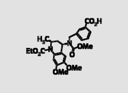 CCOC(=O)N1c2cc(OC)c(OC)cc2[C@H](N(Cc2cccc(C(=O)O)c2)C(=O)OC)C[C@@H]1C